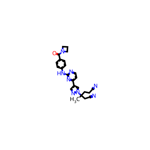 CC(CC#N)(CCC#N)n1cc(-c2ccnc(Nc3ccc(C(=O)N4CCC4)cc3)n2)cn1